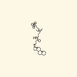 CC[N+](CC)(CCCNC(=O)CC[C@@H](C)[C@H]1CCC2C3CCC4CCCC[C@]4(C)C3CC[C@@]21C)CCCS(=O)(=O)[O-]